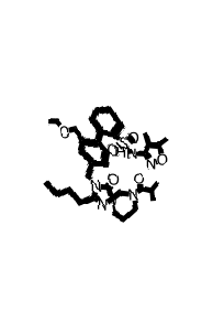 CCCCC1=N[C@]2(CCCN(C(=O)C(C)C)C2)C(=O)N1Cc1ccc(-c2ccccc2S(=O)(=O)Nc2noc(C)c2C)c(COCC)c1